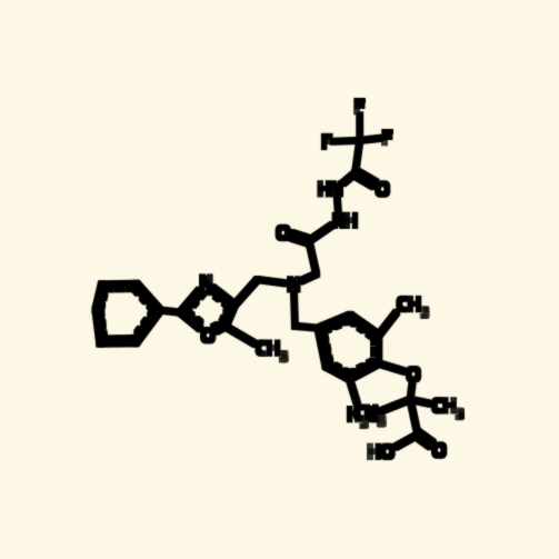 Cc1cc(CN(CC(=O)NNC(=O)C(F)(F)F)Cc2nc(-c3ccccc3)oc2C)cc(C)c1OC(C)(C)C(=O)O